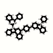 c1ccc(-c2nc(-n3c4ccccc4c4c5ccccc5c(-c5ccc(-c6ccc7c(c6)c6ccccc6n7-c6ccccc6)cc5)cc43)nc3ccccc23)cc1